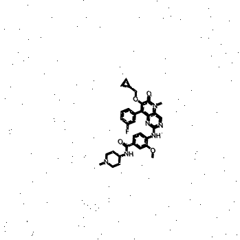 COc1cc(C(=O)NC2CCN(C)CC2)ccc1Nc1ncc2c(n1)c(-c1cccc(F)c1)c(OCC1CC1)c(=O)n2C